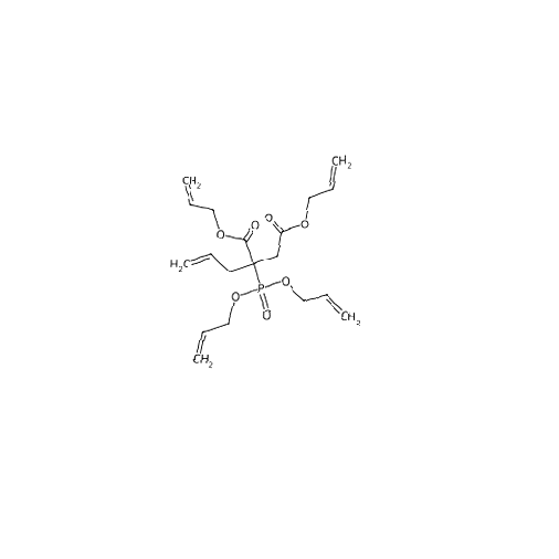 C=CCOC(=O)CC(CC=C)(C(=O)OCC=C)P(=O)(OCC=C)OCC=C